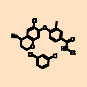 CCNC(=O)c1ccc(Oc2cc3c(cc2Cl)[CH]([Na])CCO3)c(C)c1.Clc1cccc(Cl)c1